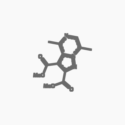 COC(=O)c1nn2c(C)cnc(C)c2c1C(=O)OC